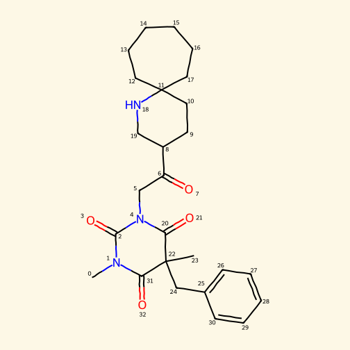 CN1C(=O)N(CC(=O)C2CCC3(CCCCCC3)NC2)C(=O)C(C)(Cc2ccccc2)C1=O